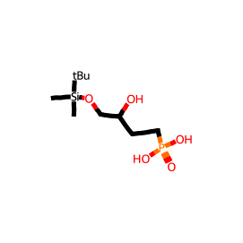 CC(C)(C)[Si](C)(C)OCC(O)CCP(=O)(O)O